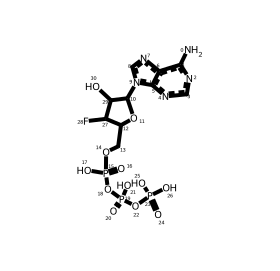 Nc1ncnc2c1ncn2C1OC(COP(=O)(O)OP(=O)(O)OP(=O)(O)O)C(F)C1O